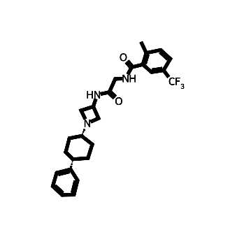 Cc1ccc(C(F)(F)F)cc1C(=O)NCC(=O)NC1CN([C@H]2CC[C@@H](c3ccccc3)CC2)C1